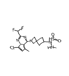 CNN(C1CC2(C1)CN(C1=NC(C(F)F)=NC3C(Cl)=CC(C)=C13)C2)[SH](=O)=O